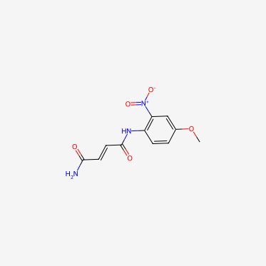 COc1ccc(NC(=O)C=CC(N)=O)c([N+](=O)[O-])c1